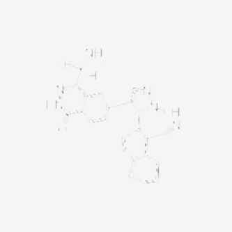 [2H]C([2H])(N)c1n[nH]c(=O)c2ccc(-c3cnn(C)c3-c3ccc4ccccc4c3C#N)cc12